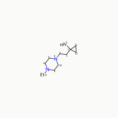 CCCC1(CCN2CCN(CC)CC2)CC1